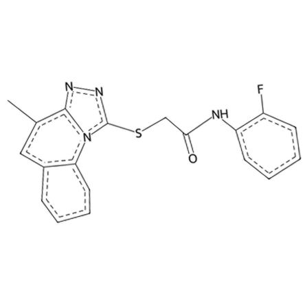 Cc1cc2ccccc2n2c(SCC(=O)Nc3ccccc3F)nnc12